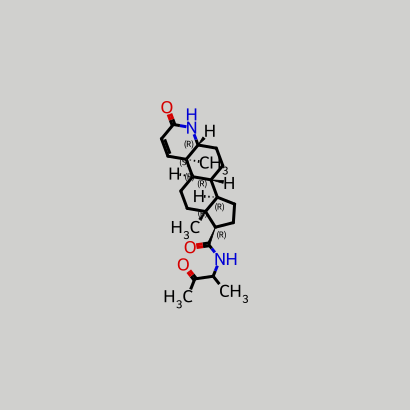 CC(=O)C(C)NC(=O)[C@@H]1CC[C@@H]2[C@H]3CC[C@H]4NC(=O)C=C[C@]4(C)[C@@H]3CC[C@]21C